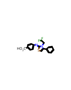 O=C(O)c1ccc(/N=c2\scc(-c3ccccc3)n2CC(F)F)cc1